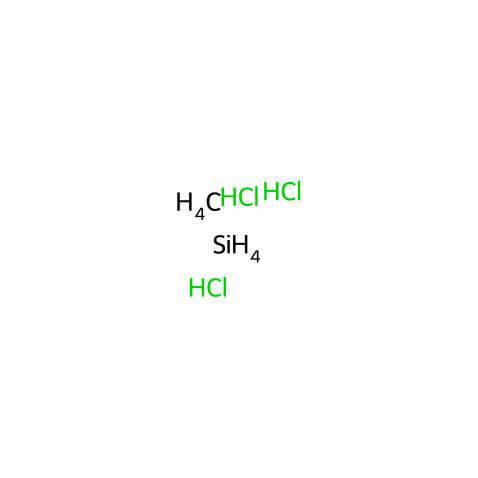 C.Cl.Cl.Cl.[SiH4]